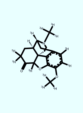 [2H]c1c([2H])c(OC([2H])([2H])[2H])c2c3c1C[C@]1([2H])[C@@H]4CC([2H])([2H])C(=O)C([2H])(O2)[C@]34CCN1C([2H])([2H])[2H]